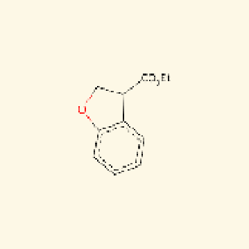 CCOC(=O)C1COc2ccccc21